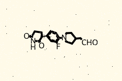 O=CCC1CCN(c2ccc([C@@H]3CCC(=O)NC3=O)cc2F)CC1